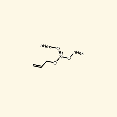 C=CCO[SiH](OCCCCCC)OCCCCCC